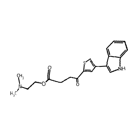 CN(C)CCOC(=O)CCC(=O)c1cc(-c2c[nH]c3ccccc23)cs1